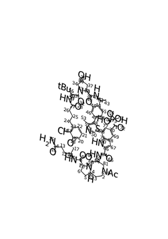 CC(=O)N1CC[C@H]2CC[C@@H](C(=O)N[C@@H](CCC(N)=O)COc3cccc(CCCC(=O)N[C@H](C(=O)N4C[C@H](O)C[C@H]4C(=O)N[C@@H](C)c4ccc(-c5scnc5C)cc4)C(C)(C)C)c3Cl)N2C(=O)[C@@H](NC(=O)c2cc3cc(C(=O)P(=O)(O)O)ccc3[nH]2)C1